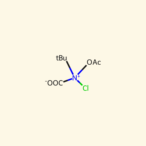 CC(=O)O[N+](Cl)(C(=O)[O-])C(C)(C)C